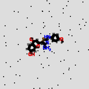 COc1ccc(Nc2nc(N)c(-c3cc(=O)c4ccc(O)cc4o3)s2)cc1